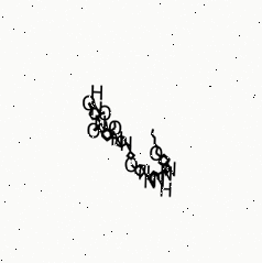 CCCCCOc1ccc2n[nH]c(-c3cc(N4CCC(O[C@H]5C[C@H](CN6CCN(c7ccc8c(c7OC)CN(C7CCC(=O)NC7=O)C8=O)CC6)C5)CC4)ncn3)c2c1